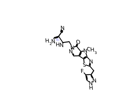 Cn1c2nc(Cc3n[nH]cc3F)sc2c2cnn(CC(=N)/C(C#N)=C\N)c(=O)c21